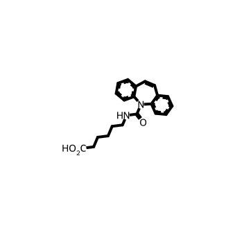 O=C(O)CCCCCNC(=O)N1c2ccccc2C=Cc2ccccc21